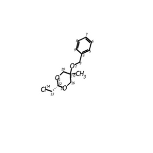 C[C@]1(OCc2ccccc2)CO[C@@H](CCl)OC1